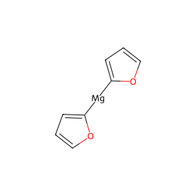 c1co[c]([Mg][c]2ccco2)c1